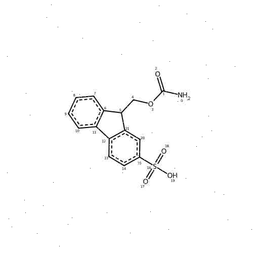 NC(=O)OCC1c2ccccc2-c2ccc(S(=O)(=O)O)cc21